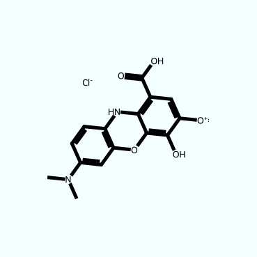 CN(C)c1ccc2c(c1)Oc1c(O)c([O+])cc(C(=O)O)c1N2.[Cl-]